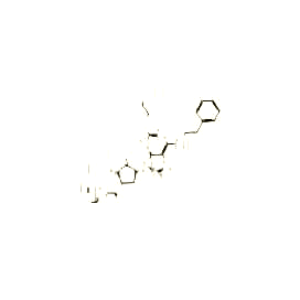 CCCSc1nc(NCCc2ccccc2)c2nnn([C@@H]3C[C@H](C(=O)NCC)[C@@H](O)[C@H]3O)c2n1